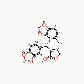 O=C1OC[C@@H](Cc2ccc3c(c2)OCO3)[C@@H]1Cc1ccc2c(c1)OCO2